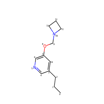 CCCc1cncc(OCN2CCC2)c1